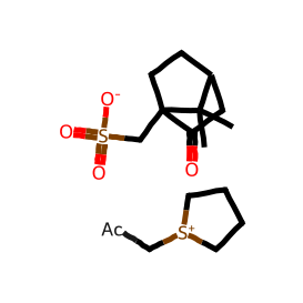 CC(=O)C[S+]1CCCC1.CC1(C)C2CCC1(CS(=O)(=O)[O-])C(=O)C2